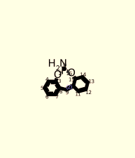 NP1Oc2ccccc2/C=C2/C=CC=CC2O1